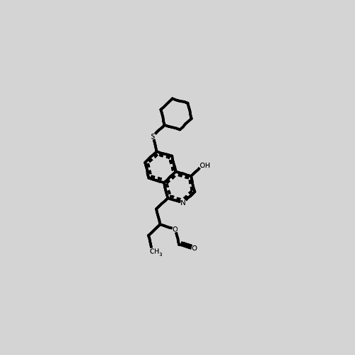 CCC(Cc1ncc(O)c2cc(SC3CCCCC3)ccc12)OC=O